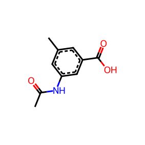 CC(=O)Nc1cc(C)cc(C(=O)O)c1